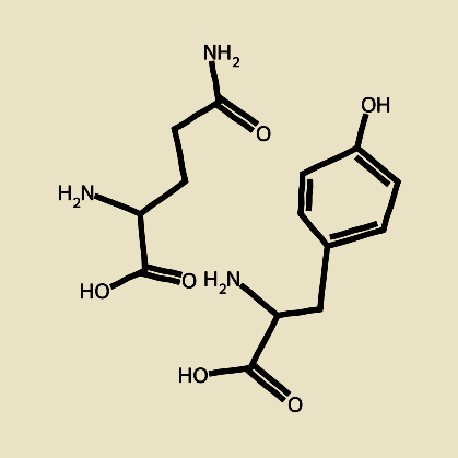 NC(=O)CCC(N)C(=O)O.NC(Cc1ccc(O)cc1)C(=O)O